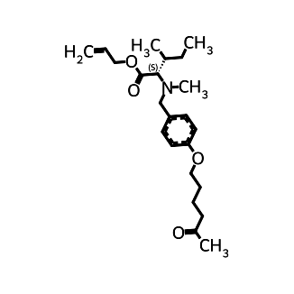 C=CCOC(=O)[C@H](C(C)CC)N(C)Cc1ccc(OCCCCC(C)=O)cc1